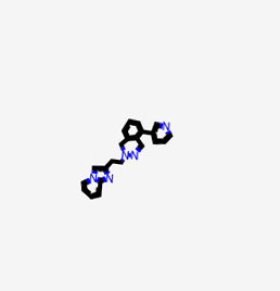 C1=NN(CCc2cn3ccccc3n2)Cc2cccc(-c3cccnc3)c21